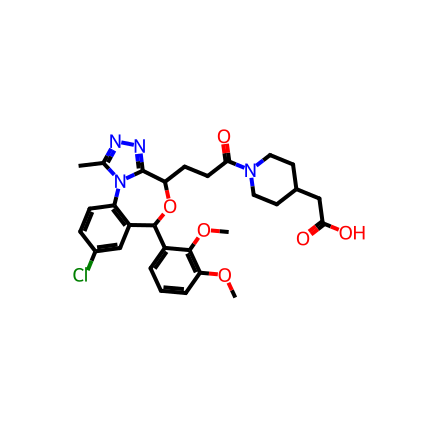 COc1cccc(C2OC(CCC(=O)N3CCC(CC(=O)O)CC3)c3nnc(C)n3-c3ccc(Cl)cc32)c1OC